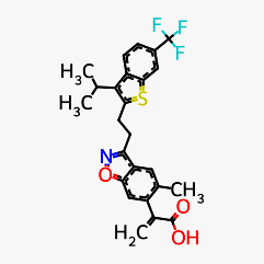 C=C(C(=O)O)c1cc2onc(CCc3sc4cc(C(F)(F)F)ccc4c3C(C)C)c2cc1C